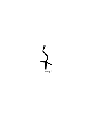 O=C(O)C(F)(F)CCC(F)(F)F